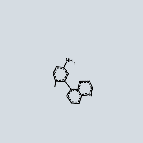 Cc1ccc(N)cc1-c1cccc2ncccc12